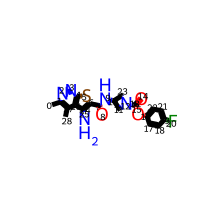 Cc1nnc2sc(C(=O)NC3CN(C(=O)Oc4ccc(F)cc4)C3)c(N)c2c1C